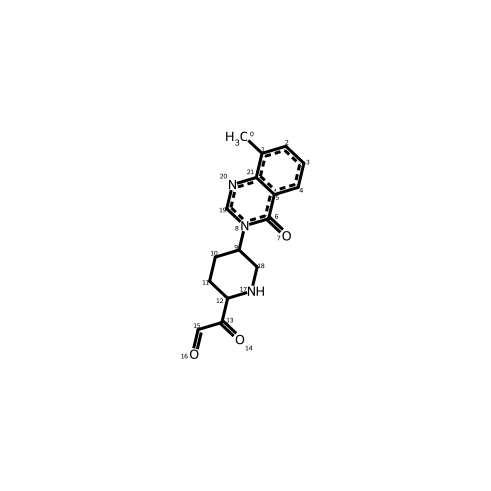 Cc1cccc2c(=O)n(C3CCC(C(=O)C=O)NC3)cnc12